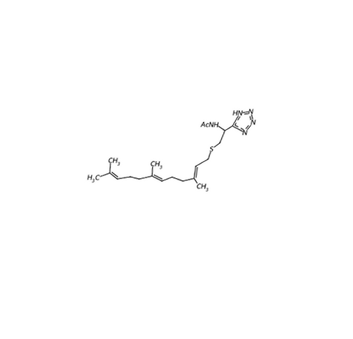 CC(=O)NC(CSC/C=C(\C)CC/C=C(\C)CCC=C(C)C)c1nnn[nH]1